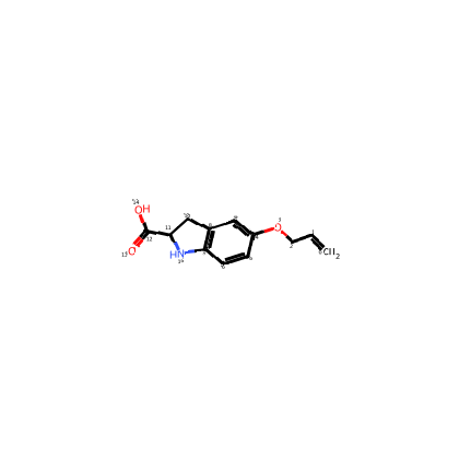 C=CCOc1ccc2c(c1)CC(C(=O)O)N2